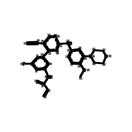 C=CC(=O)Nc1cc(F)cc(-c2nc(Nc3ccc(OC)c(N4CCOCC4)c3)ncc2C#N)c1